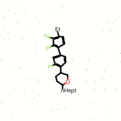 CCCCCCCC1CCC(c2ccc(-c3ccc(CC)c(F)c3F)cc2F)CO1